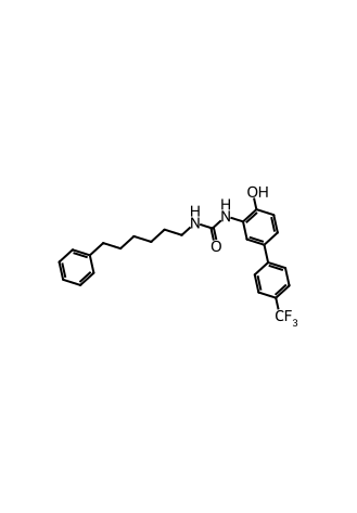 O=C(NCCCCCCc1ccccc1)Nc1cc(-c2ccc(C(F)(F)F)cc2)ccc1O